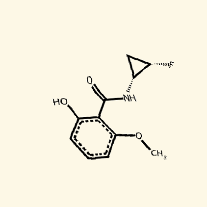 COc1cccc(O)c1C(=O)N[C@@H]1C[C@@H]1F